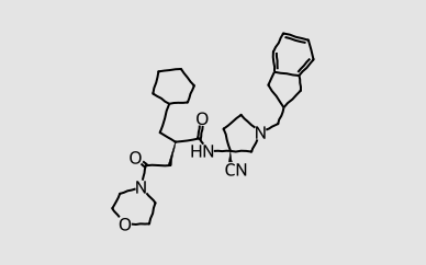 N#C[C@@]1(NC(=O)[C@@H](CC(=O)N2CCOCC2)CC2CCCCC2)CCN(CC2Cc3ccccc3C2)C1